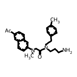 CC(=O)c1ccc2cc(N(C)CC(=O)N(CCCN)CCc3ccc(C)cc3)ccc2c1